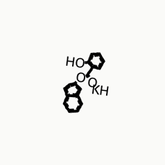 O=C(Oc1ccc2ccccc2c1)c1ccccc1O.[KH]